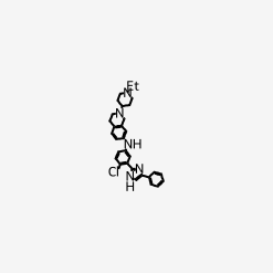 CCN1CCC(N2CCc3ccc(Nc4ccc(Cl)c(-c5nc(-c6ccccc6)c[nH]5)c4)cc3C2)CC1